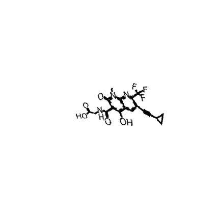 Cn1c(=O)c(C(=O)NCC(=O)O)c(O)c2cc(C#CC3CC3)c(C(F)(F)F)nc21